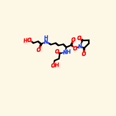 O=C(CCO)NCCCCC(NC(=O)CCO)C(=O)ON1C(=O)CCC1=O